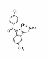 CNCc1c(C)n(C(=O)c2ccc(Cl)cc2)c2ccc(C)cc12